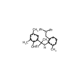 CCC(C)(Pc1c(C)cccc1CN(C(C)C)C(C)C)c1cc(C)cc(C)c1O